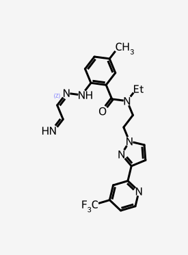 CCN(CCn1ccc(-c2cc(C(F)(F)F)ccn2)n1)C(=O)c1cc(C)ccc1N/N=C\C=N